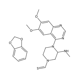 CNC1CN(C=S)CCN1c1ncnc2cc(OC)c(OC)cc12.c1ccc2c(c1)OCO2